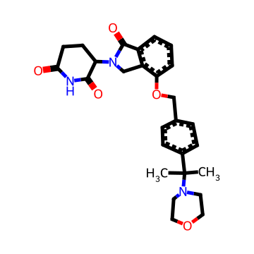 CC(C)(c1ccc(COc2cccc3c2CN(C2CCC(=O)NC2=O)C3=O)cc1)N1CCOCC1